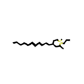 CCCCCCCCCCCC1CCS(C)(CCC)C(C)C1